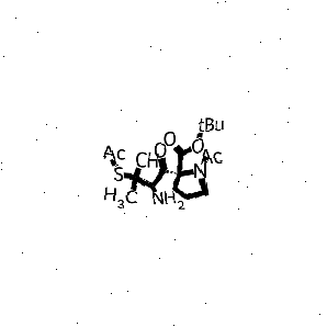 CC(=O)SC(C)(C)C(N)C(=O)[C@@]1(C(=O)OC(C)(C)C)CCCN1C(C)=O